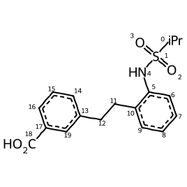 CC(C)S(=O)(=O)Nc1ccccc1CCc1cccc(C(=O)O)c1